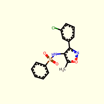 Cc1onc(-c2cccc(Cl)c2)c1NS(=O)(=O)c1ccccc1